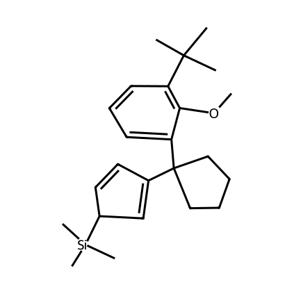 COc1c(C(C)(C)C)cccc1C1(C2=CC([Si](C)(C)C)C=C2)CCCC1